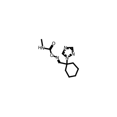 CNC(=O)ON=CC1(n2cncn2)CCCCC1